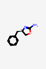 NC1=N[C@H](Cc2ccccc2)CO1